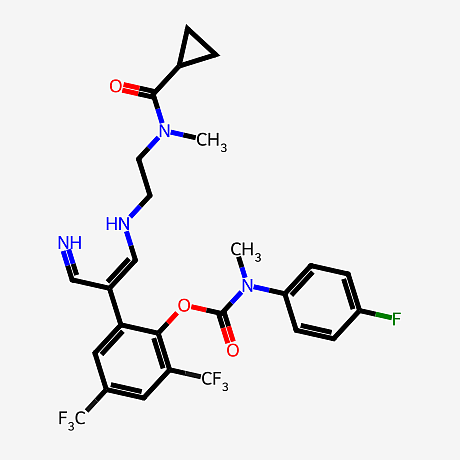 CN(CCN/C=C(\C=N)c1cc(C(F)(F)F)cc(C(F)(F)F)c1OC(=O)N(C)c1ccc(F)cc1)C(=O)C1CC1